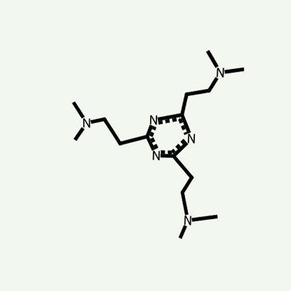 CN(C)CCc1nc(CCN(C)C)nc(CCN(C)C)n1